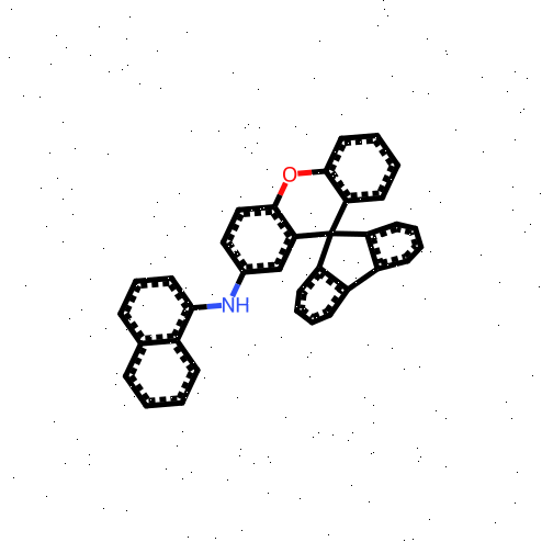 c1ccc2c(c1)Oc1ccc(Nc3cccc4ccccc34)cc1C21c2ccccc2-c2ccccc21